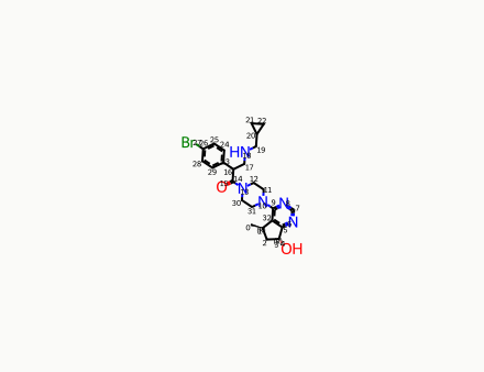 C[C@@H]1C[C@@H](O)c2ncnc(N3CCN(C(=O)C(CNCC4CC4)c4ccc(Br)cc4)CC3)c21